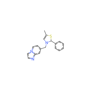 CC1=CN(Cc2ccn3ccnc3c2)C(c2ccccc2)S1